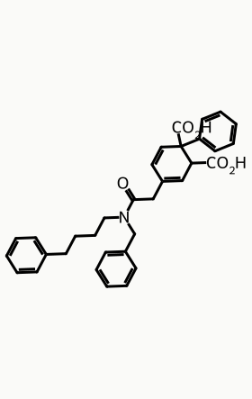 O=C(O)C1C=C(CC(=O)N(CCCCc2ccccc2)Cc2ccccc2)C=CC1(C(=O)O)c1ccccc1